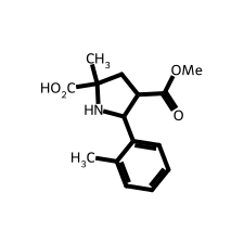 COC(=O)C1CC(C)(C(=O)O)NC1c1ccccc1C